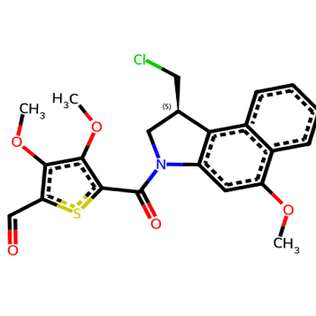 COc1c(C=O)sc(C(=O)N2C[C@@H](CCl)c3c2cc(OC)c2ccccc32)c1OC